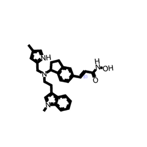 Cc1c[nH]c(CN(CCc2cn(C)c3ccccc23)C2CCc3cc(/C=C/C(=O)NO)ccc32)c1